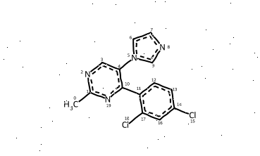 Cc1ncc(-n2ccnc2)c(-c2ccc(Cl)cc2Cl)n1